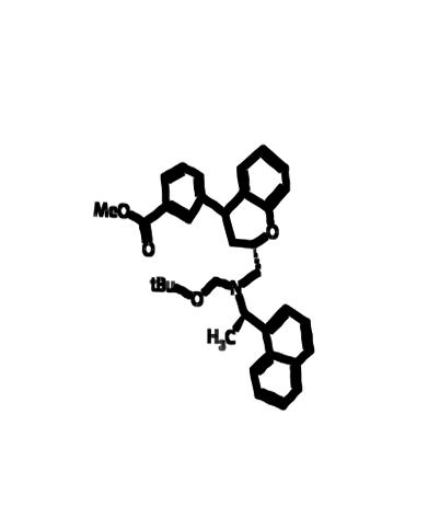 COC(=O)c1cccc(C2C[C@@H](CN(COC(C)(C)C)[C@H](C)c3cccc4ccccc34)Oc3ccccc32)c1